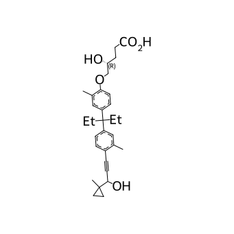 CCC(CC)(c1ccc(C#CC(O)C2(C)CC2)c(C)c1)c1ccc(OC[C@H](O)CCC(=O)O)c(C)c1